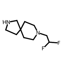 FC(F)CN1CCC2(CCNC2)CC1